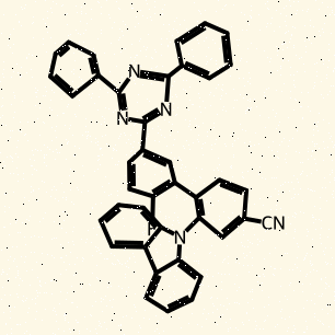 N#Cc1ccc(-c2cc(-c3nc(-c4ccccc4)nc(-c4ccccc4)n3)ccc2F)c(-n2c3ccccc3c3ccccc32)c1